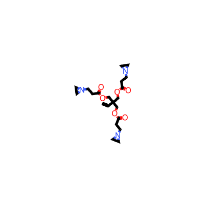 C=CC(COC(=O)CCN1CC1)(COC(=O)CCN1CC1)COC(=O)CCN1CC1